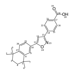 CC1(C)CCC(C)(C)c2cc(-c3cc(-c4ccc(C(=O)O)cc4)no3)ccc21